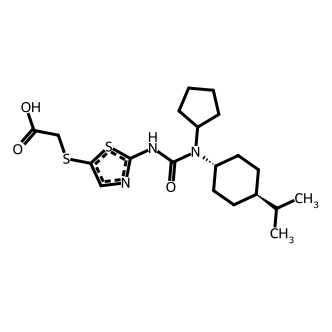 CC(C)[C@H]1CC[C@H](N(C(=O)Nc2ncc(SCC(=O)O)s2)C2CCCC2)CC1